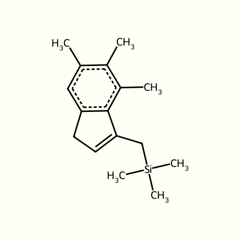 Cc1cc2c(c(C)c1C)C(C[Si](C)(C)C)=CC2